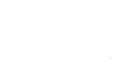 CCNC(CC(=O)O)c1ccc(C#N)cc1